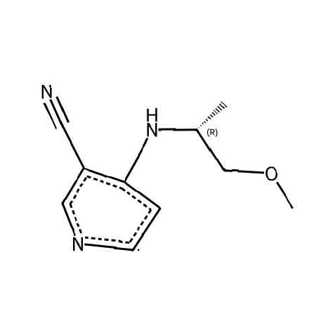 COC[C@@H](C)Nc1c[c]ncc1C#N